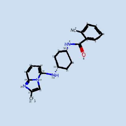 N#Cc1ccccc1C(=O)N[C@H]1CC[C@@H](Nc2cccc3nc(C(F)(F)F)cn23)CC1